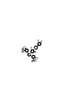 O=[N+]([O-])c1cc([C@H]2CC[C@H](c3ccc(Cl)c([N+](=O)[O-])c3)N2c2cc(F)c(N3CCC(c4ccc(F)c(F)c4)CC3)c(F)c2)ccc1Cl